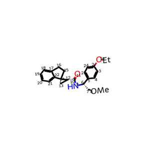 CCOc1ccc([C@H](COC)NC(=O)[C@@H]2C[C@]23CCc2ccccc23)cc1